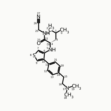 CC(C)C[C@H](Nc1cscc1-c1ccc(CCN(C)C)cc1)C(=O)NCC#N